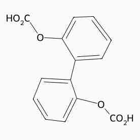 O=C(O)Oc1ccccc1-c1ccccc1OC(=O)O